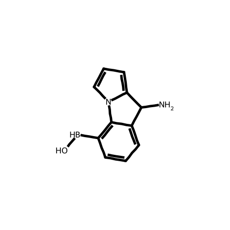 NC1c2cccc(BO)c2-n2cccc21